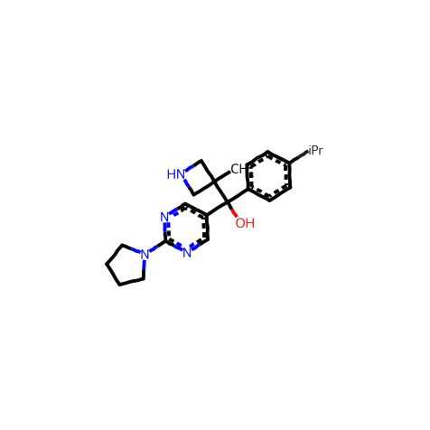 CC(C)c1ccc(C(O)(c2cnc(N3CCCC3)nc2)C2(C)CNC2)cc1